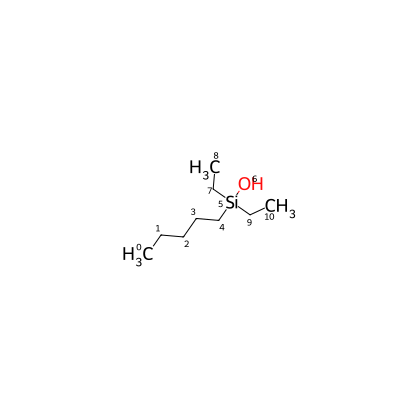 CCCCC[Si](O)(CC)CC